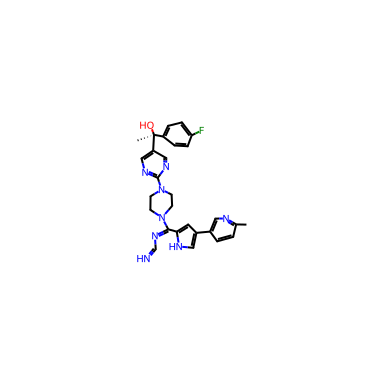 Cc1ccc(-c2c[nH]c(/C(=N\C=N)N3CCN(c4ncc([C@@](C)(O)c5ccc(F)cc5)cn4)CC3)c2)cn1